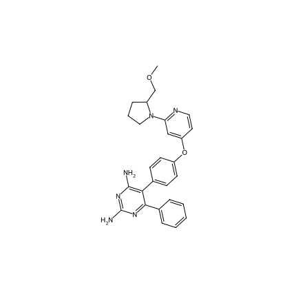 COCC1CCCN1c1cc(Oc2ccc(-c3c(N)nc(N)nc3-c3ccccc3)cc2)ccn1